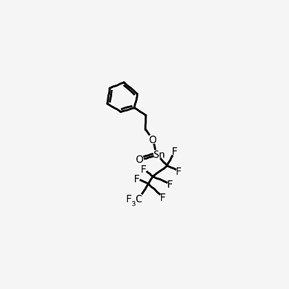 [O]=[Sn]([O]CCc1ccccc1)[C](F)(F)C(F)(F)C(F)(F)C(F)(F)F